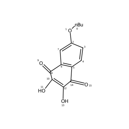 CCCCOc1ccc2c(c1)C(=O)C(O)=C(O)C2=O